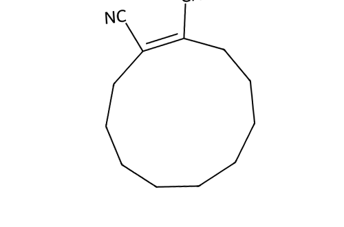 N#C/C1=C(\C#N)CCCCCCCCC1